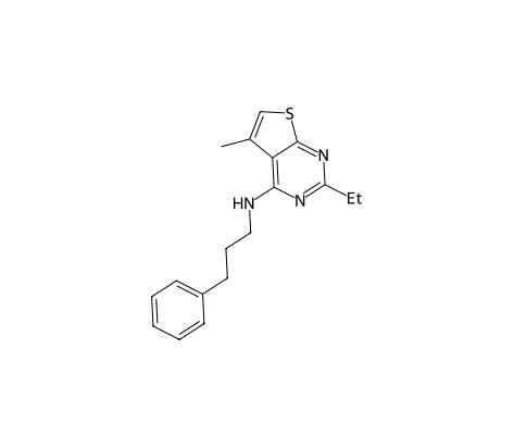 CCc1nc(NCCCc2ccccc2)c2c(C)csc2n1